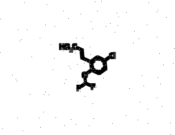 O=C(O)C=Cc1cc(Cl)ccc1OC(F)F